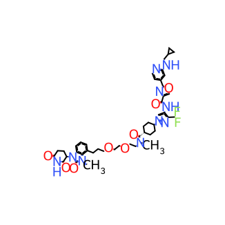 CN(CCOCCOCCCc1cccc2c1n(C)c(=O)n2C1CCC(=O)NC1=O)C(=O)[C@H]1CC[C@H](n2cc(NC(=O)c3coc(-c4ccnc(NCC5CC5)c4)n3)c(C(F)F)n2)CC1